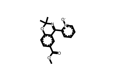 COC(=O)c1ccc2c(c1)C(c1cccc[n+]1[O-])=NC(C)(C)O2